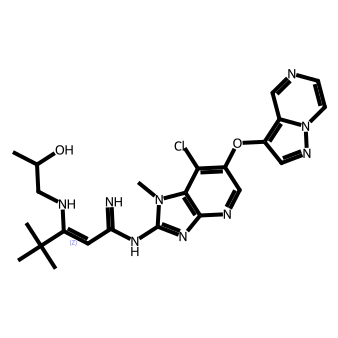 CC(O)CN/C(=C\C(=N)Nc1nc2ncc(Oc3cnn4ccncc34)c(Cl)c2n1C)C(C)(C)C